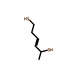 CC(S)/C=C/CCS